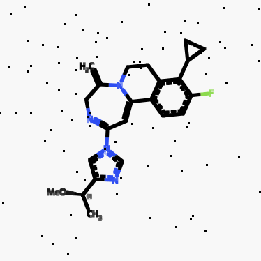 C=C1CN=C(n2cnc([C@@H](C)OC)c2)C=C2c3ccc(F)c(C4CC4)c3CCN12